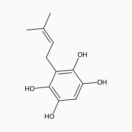 CC(C)=CCc1c(O)c(O)cc(O)c1O